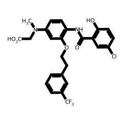 CN(CC(=O)O)c1ccc(NC(=O)c2cc(Cl)ccc2O)c(OCCc2cccc(C(F)(F)F)c2)c1